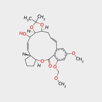 COCOc1cc(OC)cc2c1C(=O)O[C@H]1CCC[C@@H]1/C=C\C(O)[C@H]1OC(C)(C)O[C@H]1C/C=C/2